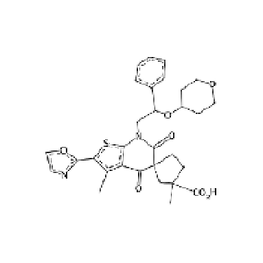 Cc1c(-c2ncco2)sc2c1C(=O)C1(CCC(C)(C(=O)O)C1)C(=O)N2CC(OC1CCOCC1)c1ccccc1